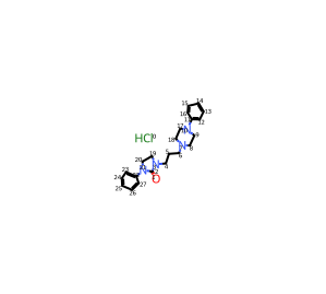 Cl.O=C1N(CCCN2CCN(c3ccccc3)CC2)CCN1c1ccccc1